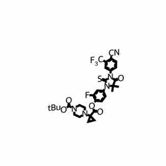 CC(C)(C)OC(=O)N1CCN(C2(C(=O)Oc3ccc(N4C(=S)N(c5ccc(C#N)c(C(F)(F)F)c5)C(=O)C4(C)C)cc3F)CC2)CC1